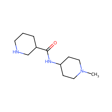 CN1CCC(NC(=O)C2CCCNC2)CC1